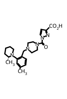 Cc1ccc(CN2CCN(C(=O)n3ccc(C(=O)O)n3)CC2)c(N2CCCC[C@H]2C)c1